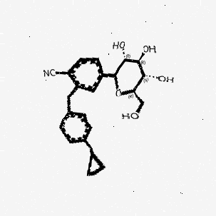 N#Cc1ccc(C2O[C@H](CO)[C@@H](O)[C@H](O)[C@H]2O)cc1Cc1ccc(C2CC2)cc1